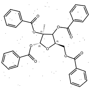 C[C@]1(OC(=O)c2ccccc2)C(OC(=O)c2ccccc2)[C@@H](COC(=O)c2ccccc2)O[C@@H]1OC(=O)c1ccccc1